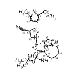 COc1cc([C@@H]2CN(C(=O)[C@@H]3CC[C@@H]4CCCC[C@H](NC(=O)OC(C)(C)C)C(=O)N43)C[C@H]2C#N)cc(C)n1